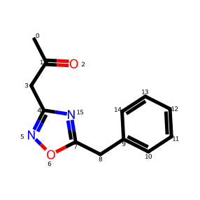 CC(=O)Cc1noc(Cc2ccccc2)n1